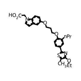 CCCc1cc(-c2nc(OCC)c(C)s2)ccc1OCCCOc1ccc2c(ccn2CC(=O)O)c1